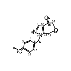 COc1ccc(Cn2ncc3c2COCC3=O)cc1